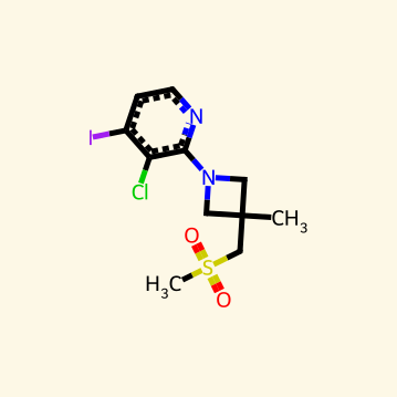 CC1(CS(C)(=O)=O)CN(c2nccc(I)c2Cl)C1